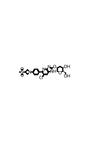 CS(=O)(=O)C1CN(c2ccc(-c3nc4nc(O[C@H]5CO[C@H](CO)[C@@H](O)C5)[nH]c4cc3Cl)cc2)C1